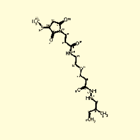 C=CC(C)CNNC(=O)CCOCCNC(=O)CCN1C(=O)CC(SC)C1=O